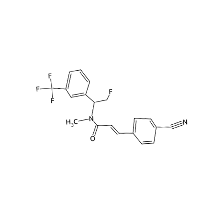 CN(C(=O)/C=C/c1ccc(C#N)cc1)C(CF)c1cccc(C(F)(F)F)c1